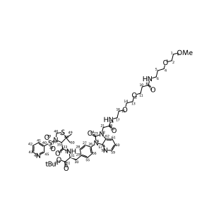 COCCOCCCNC(=O)CCOCCOCCNC(=O)Cn1c(=O)n(-c2ccc(C[C@H](NC(=O)[C@H]3N(S(=O)(=O)c4cccnc4)CSC3(C)C)C(=O)OC(C)(C)C)cc2)c2ncccc21